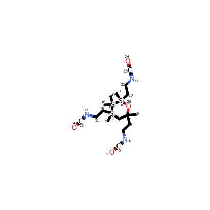 CC1(CCN=C=O)C[Si](C)(CCN=C=O)[Si](C)(C)[Si](C)(CCN=C=O)O1